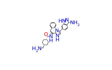 NC[C@H]1CC[C@H](C(=O)N[C@@H](Cc2ccccc2)c2nc(-c3ccc4c(N)n[nH]c4c3)c[nH]2)CC1